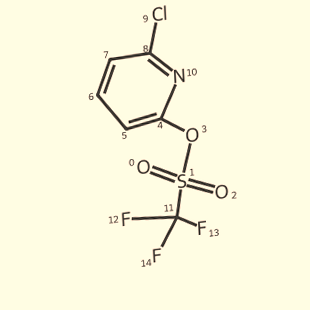 O=S(=O)(Oc1cccc(Cl)n1)C(F)(F)F